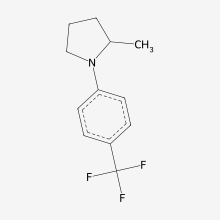 CC1CCCN1c1ccc(C(F)(F)F)cc1